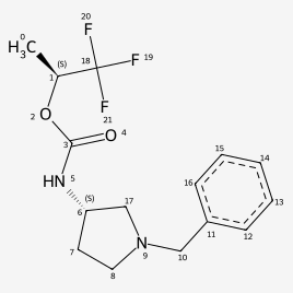 C[C@H](OC(=O)N[C@H]1CCN(Cc2ccccc2)C1)C(F)(F)F